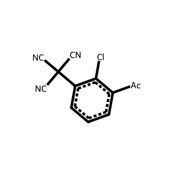 CC(=O)c1cccc(C(C#N)(C#N)C#N)c1Cl